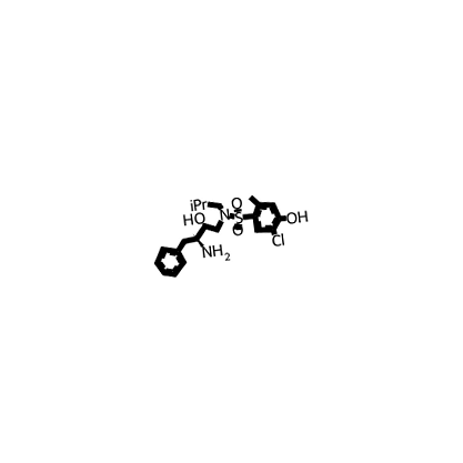 Cc1cc(O)c(Cl)cc1S(=O)(=O)N(CC(C)C)C[C@@H](O)[C@@H](N)Cc1ccccc1